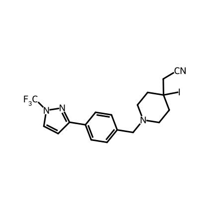 N#CCC1(I)CCN(Cc2ccc(-c3ccn(C(F)(F)F)n3)cc2)CC1